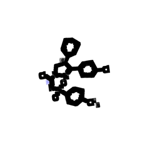 O=S(=O)(/N=C(/Cl)N1C[C@@H](c2ccccc2)C(c2ccc(Cl)cc2)=N1)c1ccc(C(F)(F)F)cc1